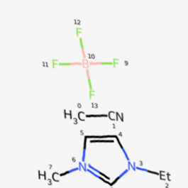 CC#N.CCn1cc[n+](C)c1.F[B-](F)(F)F